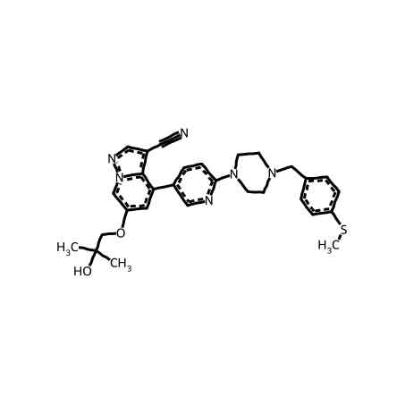 CSc1ccc(CN2CCN(c3ccc(-c4cc(OCC(C)(C)O)cn5ncc(C#N)c45)cn3)CC2)cc1